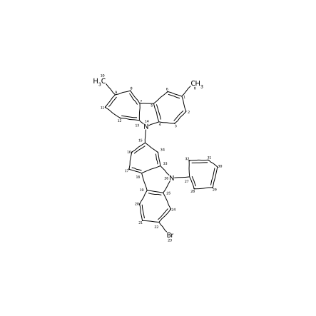 Cc1ccc2c(c1)c1cc(C)ccc1n2-c1ccc2c3ccc(Br)cc3n(-c3ccccc3)c2c1